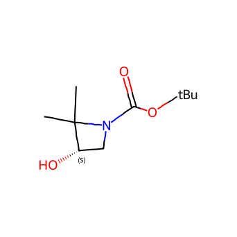 CC(C)(C)OC(=O)N1C[C@H](O)C1(C)C